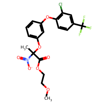 COCCOC(=O)C(C)(Oc1cccc(Oc2ccc(C(F)(F)F)cc2Cl)c1)[N+](=O)[O-]